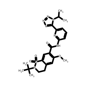 COc1cc2c(cc1C(=O)Nc1cccc(-c3nnnn3C(C)C)n1)S(=O)(=O)N(C(C)(C)C)CC2